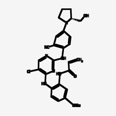 C=CC(=O)Nc1cc(OC)ccc1Nc1nc(Nc2ccc(N3CCC[C@@H]3CO)cc2C#N)ncc1Cl